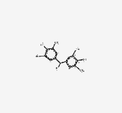 CCC(c1cc(C)c(O)c(C(C)(C)C)c1)c1cc(C)c(O)c(C(C)(C)C)c1